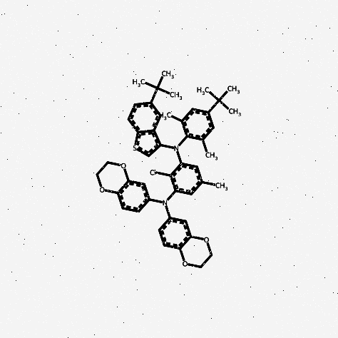 Cc1cc(N(c2ccc3c(c2)OCCO3)c2ccc3c(c2)OCCO3)c(Cl)c(N(c2c(C)cc(C(C)(C)C)cc2C)c2csc3ccc(C(C)(C)C)cc23)c1